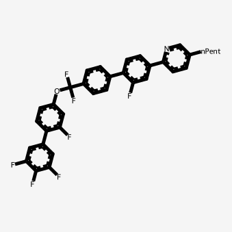 CCCCCc1ccc(-c2ccc(-c3ccc(C(F)(F)Oc4ccc(-c5cc(F)c(F)c(F)c5)c(F)c4)cc3)c(F)c2)nc1